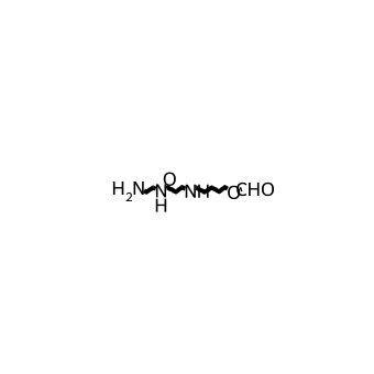 NCCNC(=O)CCNCCCCCOC=O